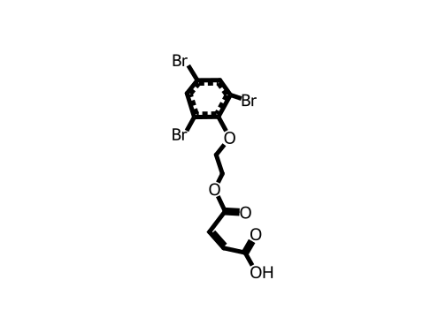 O=C(O)/C=C\C(=O)OCCOc1c(Br)cc(Br)cc1Br